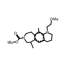 COCCN1CCCc2cc3c(c(C)c21)CCN(C(=O)OC(C)(C)C)CC3C